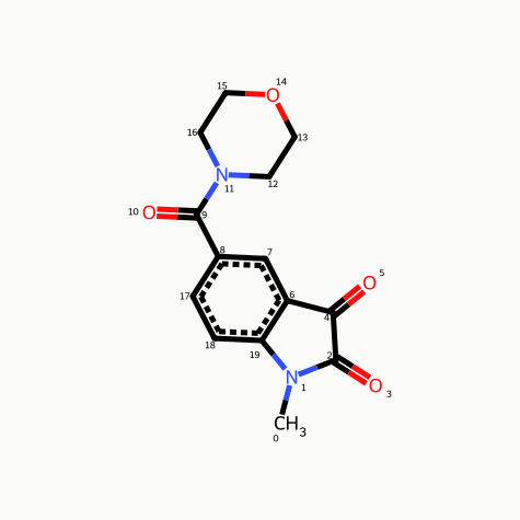 CN1C(=O)C(=O)c2cc(C(=O)N3CCOCC3)ccc21